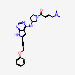 CN(C)C/C=C/C(=O)N1CCC(Nc2ncnc3[nH]c(C#CCOc4ccccc4)cc23)C1